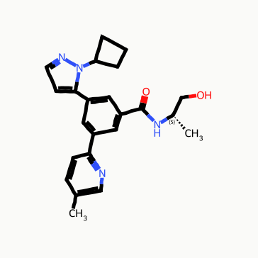 Cc1ccc(-c2cc(C(=O)N[C@@H](C)CO)cc(-c3ccnn3C3CCC3)c2)nc1